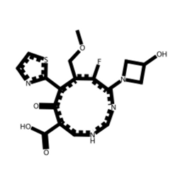 COCc1c(F)c(N2CC(O)C2)nc[nH]cc(C(=O)O)c(=O)c1-c1nccs1